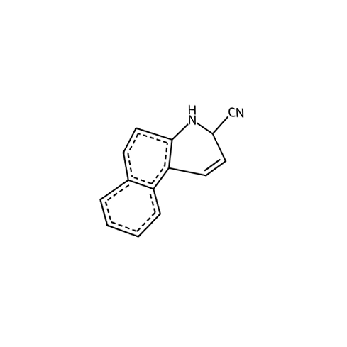 N#CC1C=Cc2c(ccc3ccccc23)N1